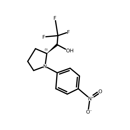 O=[N+]([O-])c1ccc(N2CCC[C@H]2C(O)C(F)(F)F)cc1